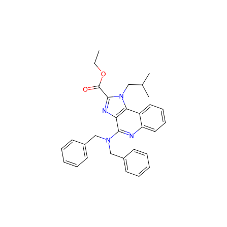 CCOC(=O)c1nc2c(N(Cc3ccccc3)Cc3ccccc3)nc3ccccc3c2n1CC(C)C